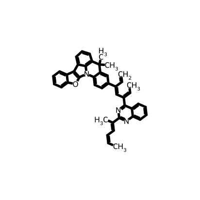 C=C/C(=C\C(=C/C)c1nc(/C(C)=C/C=C\C)nc2ccccc12)c1ccc2c(c1)C(C)(C)c1cccc3c4c5ccccc5oc4n-2c13